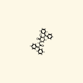 O=C1C(=O)N(C(c2ccccc2)c2ccccc2)CCN1CC(=O)N(c1ccccc1)c1ccccc1